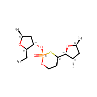 [2H]C[C@H]1O[C@@H]([3H])C[C@@H]1O[P@]1(=O)OCC[C@H]([C@H]2O[C@@H]([3H])C[C@@H]2C)S1